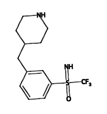 N=S(=O)(c1cccc(CC2CCNCC2)c1)C(F)(F)F